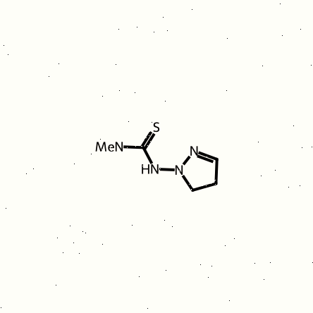 CNC(=S)NN1CCC=N1